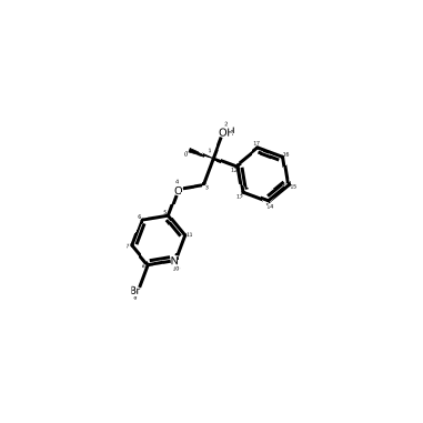 C[C@](O)(COc1ccc(Br)nc1)c1ccccc1